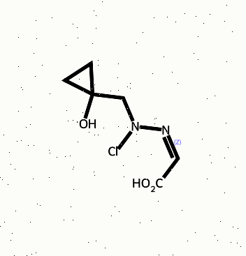 O=C(O)/C=N\N(Cl)CC1(O)CC1